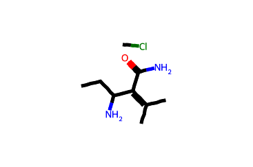 CCC(N)C(C(N)=O)=C(C)C.CCl